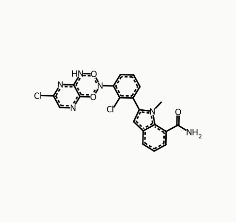 Cn1c(-c2cccc(-n3o[nH]c4nc(Cl)cnc4o3)c2Cl)cc2cccc(C(N)=O)c21